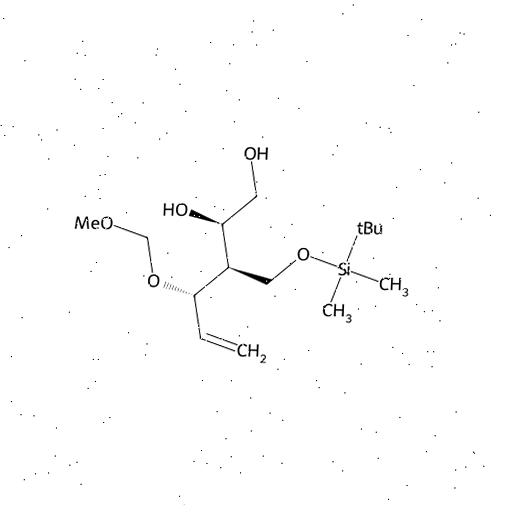 C=C[C@H](OCOC)[C@H](CO[Si](C)(C)C(C)(C)C)[C@@H](O)CO